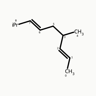 CC=CC(C)CC=CC(C)C